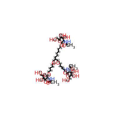 CC(=O)NC1[C@H](OCCCCCCCC(COCCCCCO[C@@H]2OC(CO)[C@H](O)[C@H](O)C2NC(C)=O)COCCCCCO[C@@H]2OC(CO)[C@H](O)[C@H](O)C2NC(C)=O)OC(CO)[C@H](O)[C@@H]1O